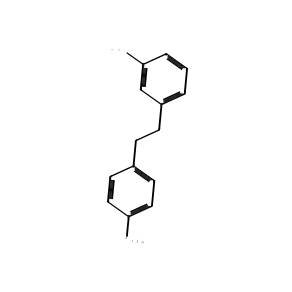 COc1ccc(CCc2cccc(C=O)c2)cc1